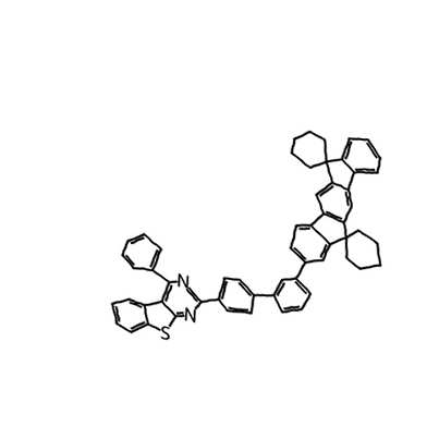 c1ccc(-c2nc(-c3ccc(-c4cccc(-c5ccc6c(c5)C5(CCCCC5)c5cc7c(cc5-6)C5(CCCCC5)c5ccccc5-7)c4)cc3)nc3sc4ccccc4c23)cc1